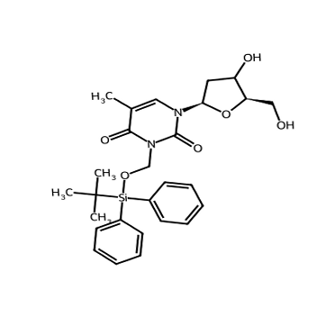 Cc1cn([C@H]2CC(O)[C@@H](CO)O2)c(=O)n(CO[Si](c2ccccc2)(c2ccccc2)C(C)(C)C)c1=O